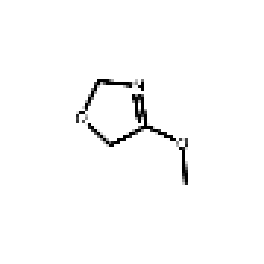 COC1=N[CH]OC1